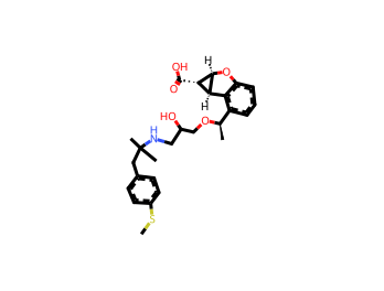 CSc1ccc(CC(C)(C)NCC(O)CO[C@H](C)c2cccc3c2[C@@H]2[C@H](O3)[C@H]2C(=O)O)cc1